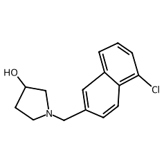 OC1CCN(Cc2ccc3c(Cl)cccc3c2)C1